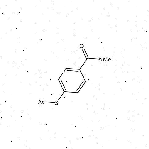 CNC(=O)c1ccc(SC(C)=O)cc1